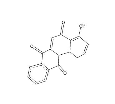 O=C1C=C2C(=O)c3ccccc3C(=O)C2C2CC=CC(O)=C12